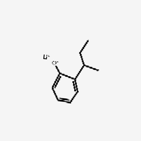 CCC(C)c1ccccc1[O-].[Li+]